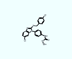 CC(C)(C)OC(=O)Nc1ccc(-n2c(SCc3ccc(Cl)cc3)nc3ccc(Cl)cc32)cc1